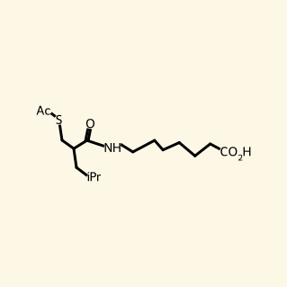 CC(=O)SCC(CC(C)C)C(=O)NCCCCCCCC(=O)O